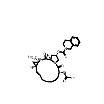 CC(C)C(=O)N[C@H]1CCCCC/C=C/[C@@H]2C[C@@]2(C(=O)O)NC(=O)[C@@H]2C[C@@H](OC(=O)N3CCc4ccccc4C3)CN2C1=O